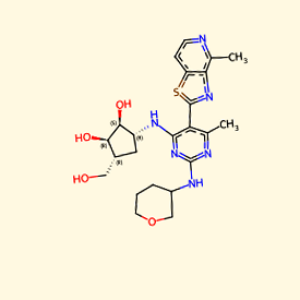 Cc1nc(NC2CCCOC2)nc(N[C@@H]2C[C@H](CO)[C@@H](O)[C@H]2O)c1-c1nc2c(C)nccc2s1